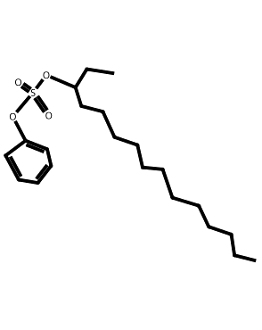 CCCCCCCCCCCCC(CC)OS(=O)(=O)Oc1ccccc1